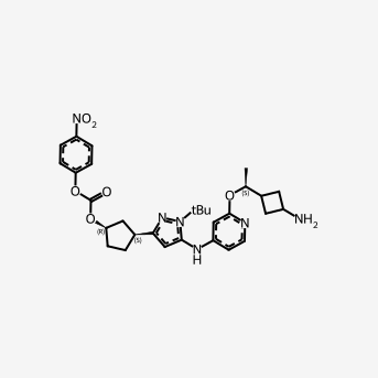 C[C@H](Oc1cc(Nc2cc([C@H]3CC[C@@H](OC(=O)Oc4ccc([N+](=O)[O-])cc4)C3)nn2C(C)(C)C)ccn1)C1CC(N)C1